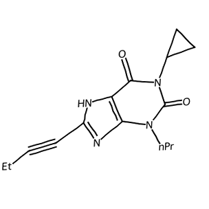 CCC#Cc1nc2c([nH]1)c(=O)n(C1CC1)c(=O)n2CCC